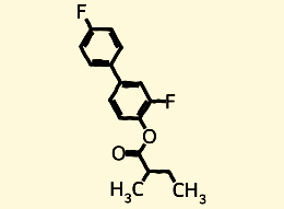 CCC(C)C(=O)Oc1ccc(-c2ccc(F)cc2)cc1F